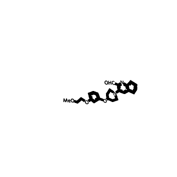 COCCOc1cccc(OC2CCN(c3cc4ccccc4nc3C=O)CC2)c1